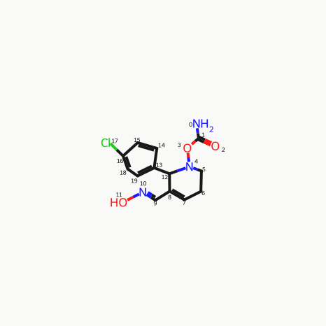 NC(=O)ON1CCC=C(C=NO)C1c1ccc(Cl)cc1